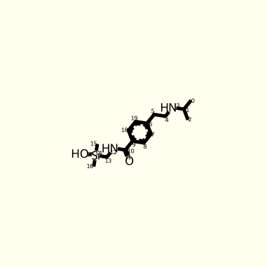 CC(C)NCCc1ccc(C(=O)NC[Si](C)(C)O)cc1